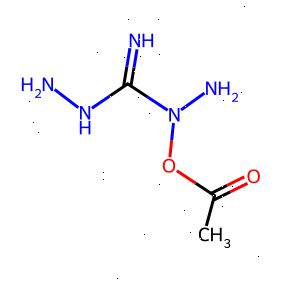 CC(=O)ON(N)C(=N)NN